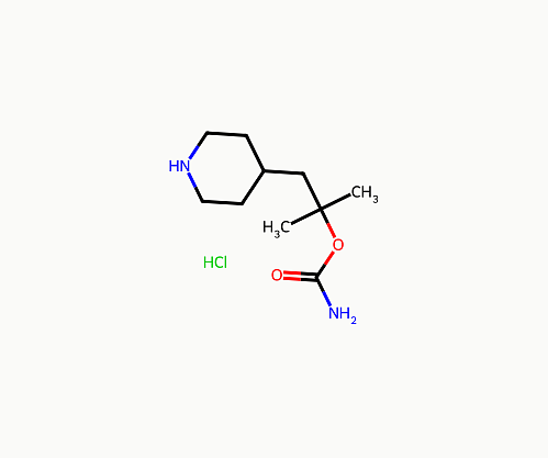 CC(C)(CC1CCNCC1)OC(N)=O.Cl